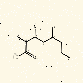 CCCC(C)CC(N)C(C)C(=O)O